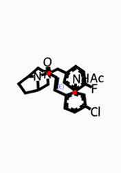 CC(=O)Nc1cc(Cl)ccc1/C=C/C(=O)N1C2CCC1CN(Cc1ccc(F)cc1)C2